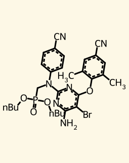 CCCCOP(=O)(CN(c1ccc(C#N)cc1)c1nc(N)c(Br)c(Oc2c(C)cc(C#N)cc2C)n1)OCCCC